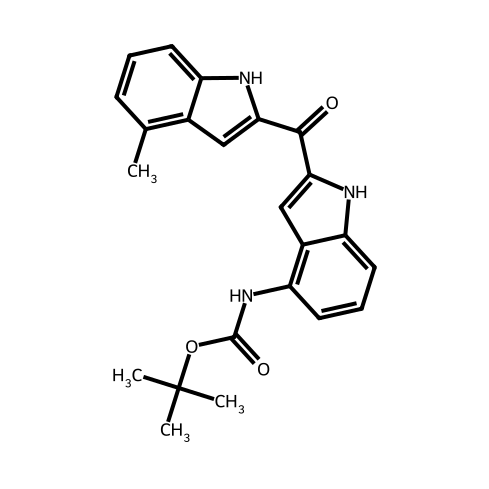 Cc1cccc2[nH]c(C(=O)c3cc4c(NC(=O)OC(C)(C)C)cccc4[nH]3)cc12